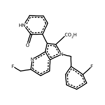 O=C(O)c1c(-c2ccc[nH]c2=O)c2nc(CF)ccc2n1Cc1ccccc1F